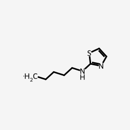 [CH2]CCCCNc1nccs1